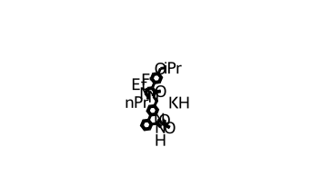 CCCc1nc(CC)c(-c2ccc(OC(C)C)cc2F)c(=O)n1Cc1ccc(-c2ccccc2-c2noc(=O)[nH]2)cc1.[KH]